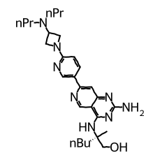 CCCC[C@](C)(CO)Nc1nc(N)nc2cc(-c3ccc(N4CC(N(CCC)CCC)C4)nc3)ncc12